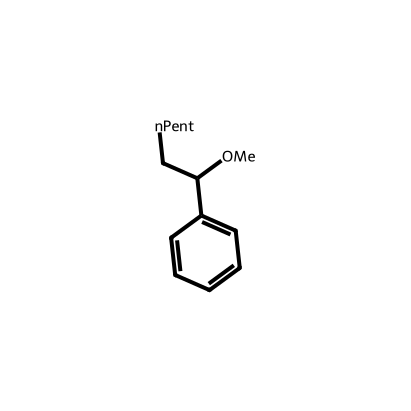 CCCCCCC(OC)c1ccccc1